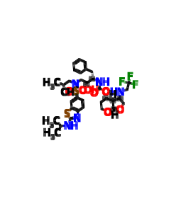 CC(C)CN(C[C@@H](O)[C@H](Cc1ccccc1)NC(=O)O[C@H]1CCO[C@H]2OC[C@H](NCC(F)(F)F)[C@H]21)S(=O)(=O)c1ccc2nc(NC(C)C)sc2c1